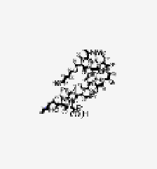 C/C=C/C[C@@H](C)[C@@H](O)[C@@H](C(=O)N[C@@H](CC)C(=O)O)N(C)C(=O)[C@H](C(C)C)N(C)C(=O)[C@H](CC(C)C)N(C)C(=O)[C@H](CC(C)C)N(C)C(=O)[C@@H](C)NC(=O)[C@H](C)NC(=O)[C@H](CC(C)C)N(C)C(=O)[C@@H](NC(=O)[C@H]([C@H](C)OCCCCO)N(C)C(=O)[C@@H](C)NC)C(C)C